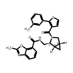 Cc1cccc(-c2sccc2C(=O)N2C[C@@H]3C[C@@H]3[C@H]2CNC(=O)c2cccc3nc(C)oc23)c1